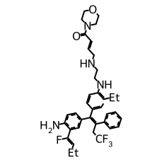 C/C=C(\C=C/C(=C/CC)NCCNC/C=C/C(=O)N1CCOCC1)C(=C(/CC(F)(F)F)c1ccccc1)/c1ccc(N)c(/C(F)=C/CC)c1